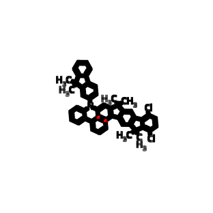 CC1(C)c2ccccc2-c2ccc(N(c3ccc4c(c3)C(C)(C)c3cc5c(cc3-4)C(C)(C)c3c(Cl)ccc(Cl)c3-5)c3ccccc3-c3ccccc3)cc21